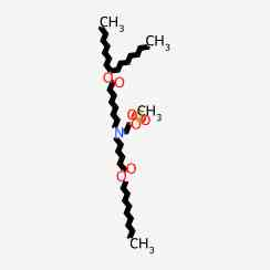 CCCCCCCCCCCOC(=O)CCCCCN(CCCCCCCC(=O)OC(CCCCCCCC)CCCCCCCC)CCOS(C)(=O)=O